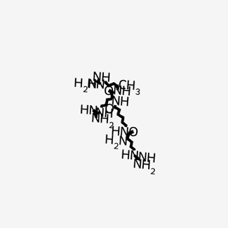 CC(CCCNC(=N)N)NC(=O)C(CCCNC(=N)N)NC(=O)CCCCCNC(=O)C(N)CCCNC(=N)N